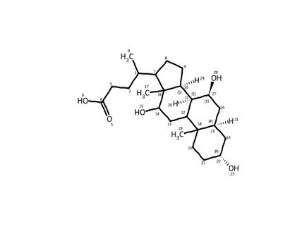 CC(CCC(=O)O)C1CC[C@H]2[C@@H]3C(CC(O)C12C)C1(C)CC[C@@H](O)C[C@@H]1C[C@@H]3O